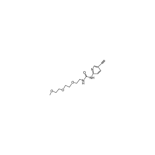 C#Cc1ccc(NC(=O)NCCOCCOCCOC)nc1